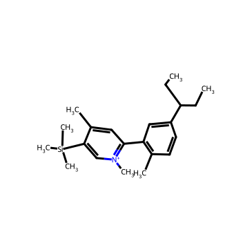 CCC(CC)c1ccc(C)c(-c2cc(C)c([Si](C)(C)C)c[n+]2C)c1